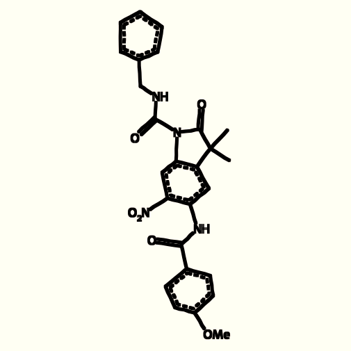 COc1ccc(C(=O)Nc2cc3c(cc2[N+](=O)[O-])N(C(=O)NCc2ccccc2)C(=O)C3(C)C)cc1